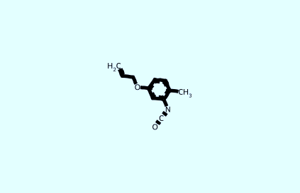 C=CCOc1ccc(C)c(N=C=O)c1